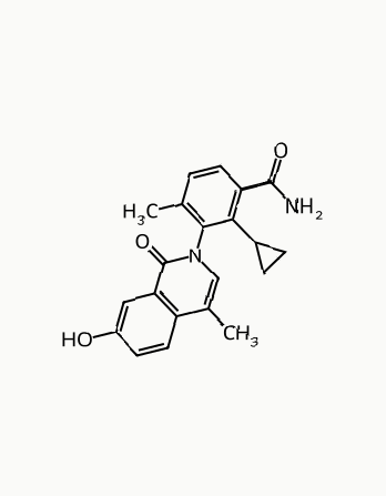 Cc1ccc(C(N)=O)c(C2CC2)c1-n1cc(C)c2ccc(O)cc2c1=O